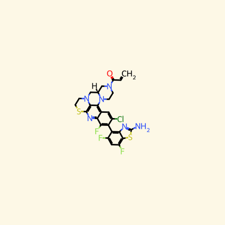 C=CC(=O)N1CCN2c3c4c(nc5c(F)c(-c6c(F)cc(F)c7sc(N)nc67)c(Cl)cc35)SCCN4C[C@@H]2C1